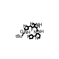 CC(C)(C)CC(=O)Nc1cncc(-c2ncc3[nH]nc(-c4nc5c(-c6ccncc6)nccc5[nH]4)c3c2F)c1